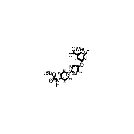 COC(=O)c1cc(Cl)nc(Oc2cnc(N3CCC(NC(=O)OC(C)(C)C)CC3)nc2)c1